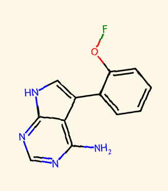 Nc1ncnc2[nH]cc(-c3ccccc3OF)c12